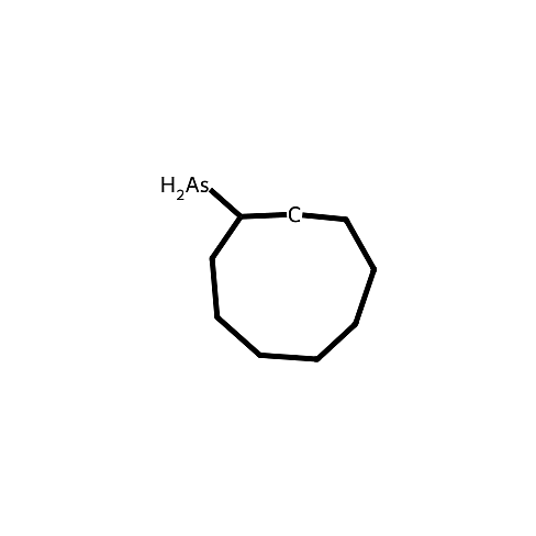 [AsH2]C1CCCCCCCC1